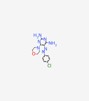 Nc1nc(N)c(N=Nc2ccc(Cl)cc2)c(N2CCOCC2)n1